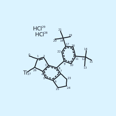 CC1=Cc2c(cc3c(c2-c2cc(C(C)(C)C)cc(C(C)(C)C)c2)CCC3)[CH]1[Ti].Cl.Cl